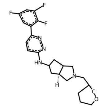 Fc1cc(F)c(F)c(-c2ccc(NC3CC4CN(CC5CCCOC5)C[C@H]4C3)nn2)c1